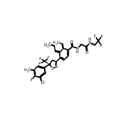 C/C=c1/c(C(=O)NCC(=O)NCC(F)(F)F)ccc(C2=NO[C@@](c3cc(C)c(F)c(Cl)c3)(C(F)(F)F)C2)/c1=C/CC